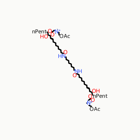 CCCCCC(OC(=O)C[N+](C)(C)CCOC(C)=O)C(O)CC=CCCCCCCCC(=O)NCCCCCCCCNC(=O)CCCCCCCC=CCC(O)C(CCCCC)OC(=O)C[N+](C)(C)CCOC(C)=O